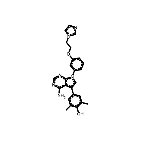 Cc1cc(-c2cn(-c3cccc(OCCn4ccnc4)c3)c3ncnc(N)c23)cc(C)c1O